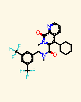 CN(Cc1cc(C(F)(F)F)cc(C(F)(F)F)c1)C(=O)c1c(C2CCCCC2)c2cccnc2c(=O)n1C